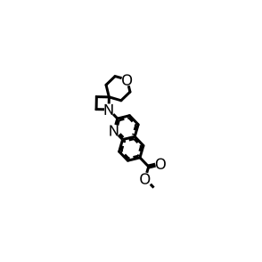 COC(=O)c1ccc2nc(N3CCC34CCOCC4)ccc2c1